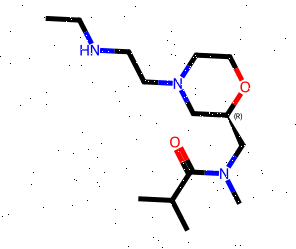 CCNCCN1CCO[C@@H](CN(C)C(=O)C(C)C)C1